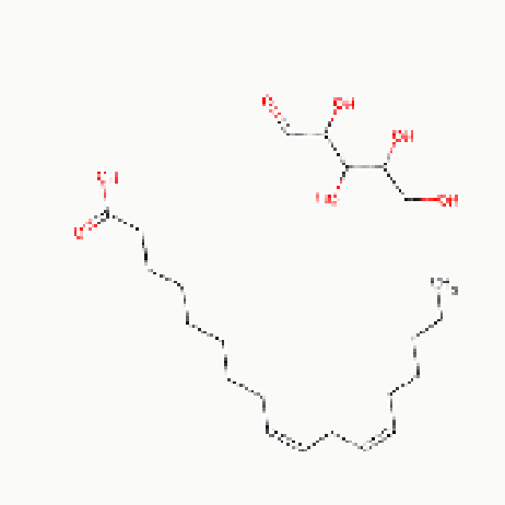 CCCCC/C=C\C/C=C\CCCCCCCC(=O)O.O=CC(O)C(O)C(O)CO